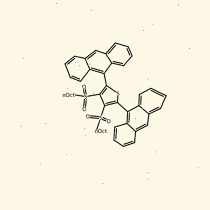 CCCCCCCCS(=O)(=O)c1c(-c2c3ccccc3cc3ccccc23)sc(-c2c3ccccc3cc3ccccc23)c1S(=O)(=O)CCCCCCCC